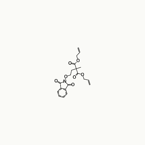 C=CCOC(=O)C(C)(CCON1C(=O)c2ccccc2C1=O)C(=O)OCC=C